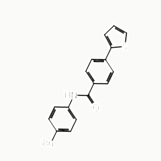 CCC(C)c1ccc(NC(=O)c2ccc(-c3cccs3)cc2)cc1